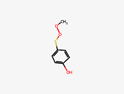 COOSc1ccc(O)cc1